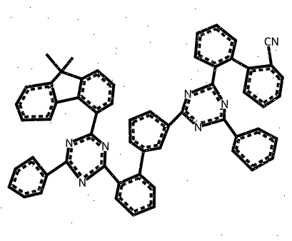 CC1(C)c2ccccc2-c2c(-c3nc(-c4ccccc4)nc(-c4ccccc4-c4cccc(-c5nc(-c6ccccc6)nc(-c6ccccc6-c6ccccc6C#N)n5)c4)n3)cccc21